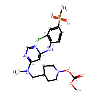 CC(C)OC(=O)ON1CCC(CN(C)c2cc(Nc3ccc(S(C)(=O)=O)cc3F)ncn2)CC1